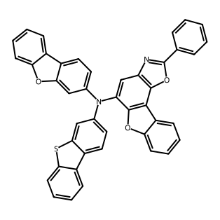 c1ccc(-c2nc3cc(N(c4ccc5c(c4)oc4ccccc45)c4ccc5c(c4)sc4ccccc45)c4oc5ccccc5c4c3o2)cc1